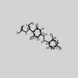 C=C(C)C/C(=C/C)c1c(C)cc(CCc2cnc(C)nc2C)cc1C